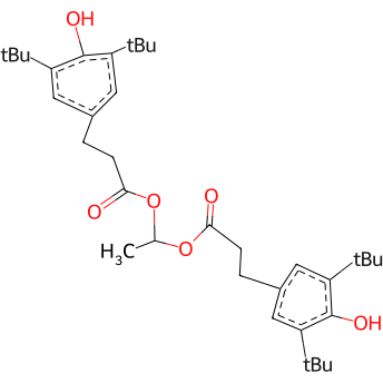 CC(OC(=O)CCc1cc(C(C)(C)C)c(O)c(C(C)(C)C)c1)OC(=O)CCc1cc(C(C)(C)C)c(O)c(C(C)(C)C)c1